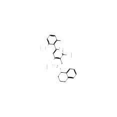 CCc1cc(-c2c(CC)cccc2CC)nc(Cl)c1CN(C)[C@H]1CCCc2ccccc21